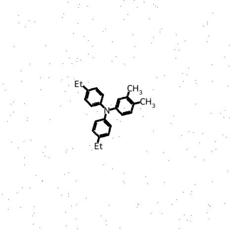 CCc1ccc(N(c2ccc(CC)cc2)c2ccc(C)c(C)c2)cc1